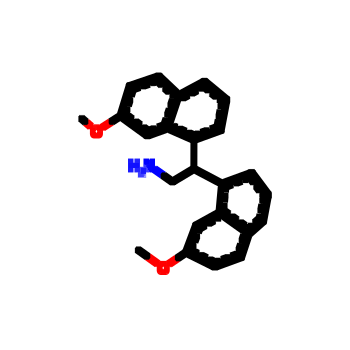 COc1ccc2cccc(C(CN)c3cccc4ccc(OC)cc34)c2c1